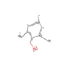 CCCCc1cc(C)cc(CCC)c1O